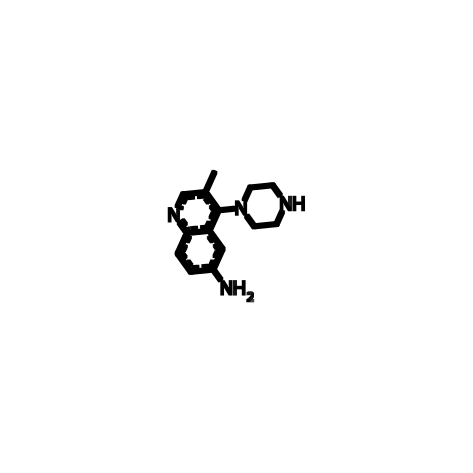 Cc1cnc2ccc(N)cc2c1N1CCNCC1